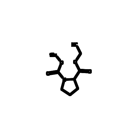 CC(C)(C)OC(=O)N1CCCC1C(=O)OCC#N